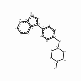 CN1CCN(Cc2ccc(-c3c[nH]c4ncccc34)cc2)CC1